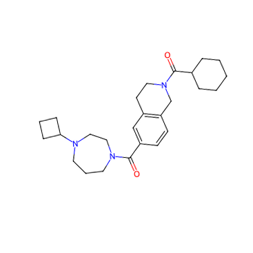 O=C(c1ccc2c(c1)CCN(C(=O)C1CCCCC1)C2)N1CCCN(C2CCC2)CC1